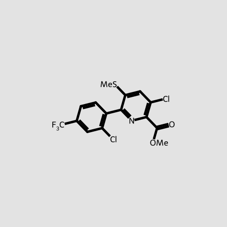 COC(=O)c1nc(-c2ccc(C(F)(F)F)cc2Cl)c(SC)cc1Cl